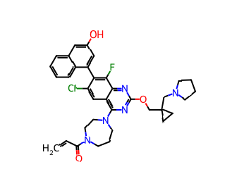 C=CC(=O)N1CCCN(c2nc(OCC3(CN4CCCC4)CC3)nc3c(F)c(-c4cc(O)cc5ccccc45)c(Cl)cc23)CC1